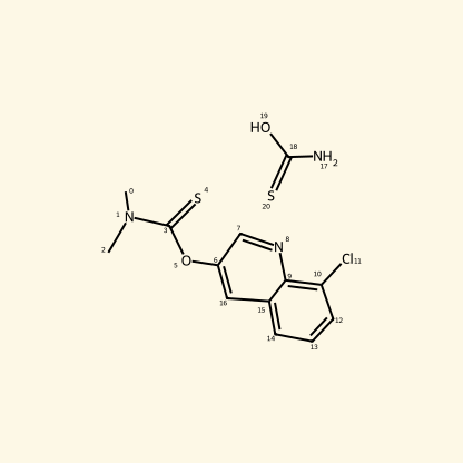 CN(C)C(=S)Oc1cnc2c(Cl)cccc2c1.NC(O)=S